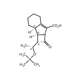 C[C@@H](O[Si](C)(C)C)[C@H]1C(=O)N2C(C(=O)O)=C3CCCC[C@@H]3[C@H]12